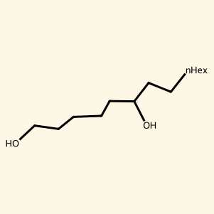 CCCCCCCCC(O)CCCCCO